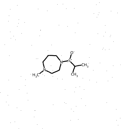 CC(C)[S+]([O-])N1CCCN(C)CC1